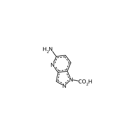 Nc1ccc2c(cnn2C(=O)O)n1